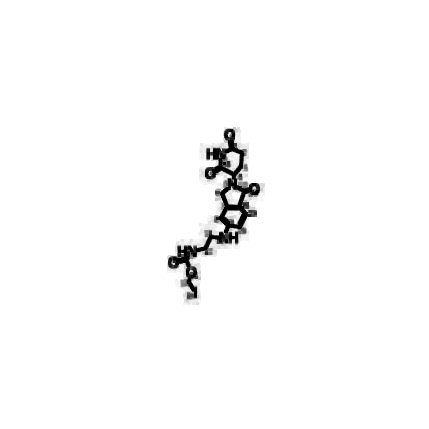 O=C1CCC(N2Cc3cc(NCCNC(=O)OCI)ccc3C2=O)C(=O)N1